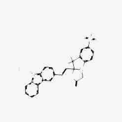 Cn1c2ccccc2c2cc(/C=C/C34OC(=O)CN3c3ccc(S(C)(=O)=O)cc3C4(C)C)ccc21